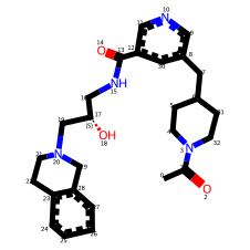 CC(=O)N1CCC(Cc2cncc(C(=O)NC[C@H](O)CN3CCc4ccccc4C3)c2)CC1